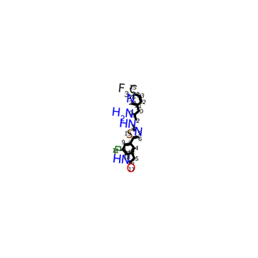 NC(CNc1ncc(-c2cc(F)c3c(c2)CC(=O)N3)s1)Cc1ccc(C(F)(F)F)nc1